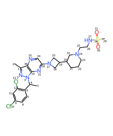 Cc1nn(C(C)c2ccc(Cl)cc2Cl)c2nc(N3CC(C4CCCN(CCNS(C)(=O)=O)C4)C3)cnc12